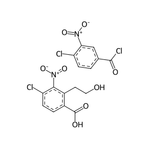 O=C(Cl)c1ccc(Cl)c([N+](=O)[O-])c1.O=C(O)c1ccc(Cl)c([N+](=O)[O-])c1CCO